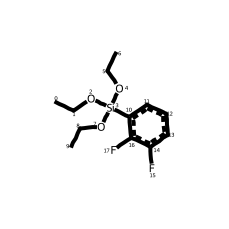 CCO[Si](OCC)(OCC)c1cccc(F)c1F